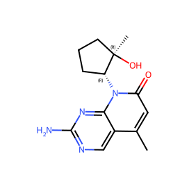 Cc1cc(=O)n([C@@H]2CCC[C@@]2(C)O)c2nc(N)ncc12